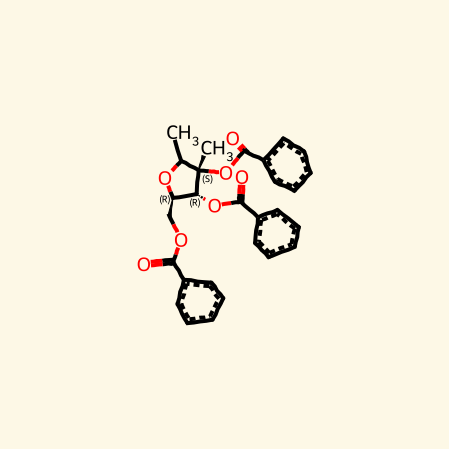 CC1O[C@H](COC(=O)c2ccccc2)[C@@H](OC(=O)c2ccccc2)[C@@]1(C)OC(=O)c1ccccc1